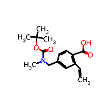 C=Cc1cc(CN(C)C(=O)OC(C)(C)C)ccc1C(=O)O